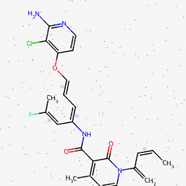 C=C(/C=C\C)n1ccc(C)c(C(=O)NC(/C=C(\C)F)=C/C=C/Oc2ccnc(N)c2Cl)c1=O